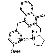 COc1ccc(Cc2nn(C[C@H]3CCC[N+]3(C(=O)[O-])C(C)(C)C)c(=O)c3ccccc23)cc1